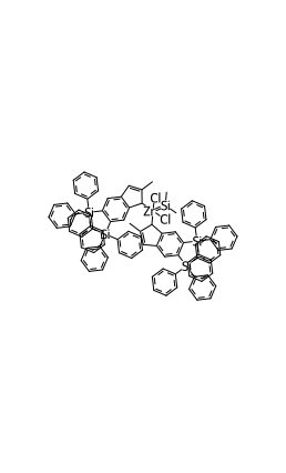 CC1=Cc2cc([Si](c3ccccc3)(c3ccccc3)c3ccccc3)c([Si](c3ccccc3)(c3ccccc3)c3ccccc3)cc2[CH]1[Zr]([Cl])([Cl])([CH]1C(C)=Cc2cc([Si](c3ccccc3)(c3ccccc3)c3ccccc3)c([Si](c3ccccc3)(c3ccccc3)c3ccccc3)cc21)=[Si](C)C